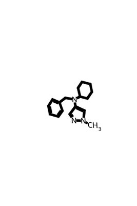 Cn1cc(N(Cc2ccccc2)C2CCCCC2)cn1